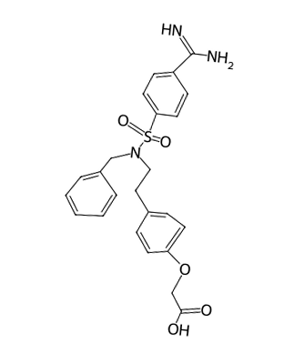 N=C(N)c1ccc(S(=O)(=O)N(CCc2ccc(OCC(=O)O)cc2)Cc2ccccc2)cc1